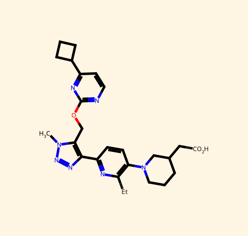 CCc1nc(-c2nnn(C)c2COc2nccc(C3CCC3)n2)ccc1N1CCCC(CC(=O)O)C1